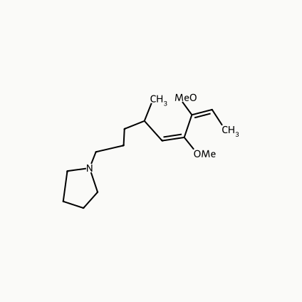 C/C=C(OC)\C(=C/C(C)CCCN1CCCC1)OC